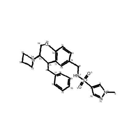 Cn1cc(S(=O)(=O)NCc2ccc3c(c2)C(Cc2ccccc2)C(N2CCC2)CO3)cn1